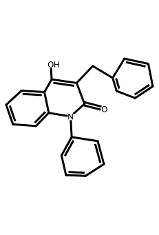 O=c1c(Cc2ccccc2)c(O)c2ccccc2n1-c1ccccc1